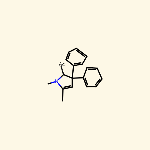 CC(=O)C1N(C)C(C)=CC1(c1ccccc1)c1ccccc1